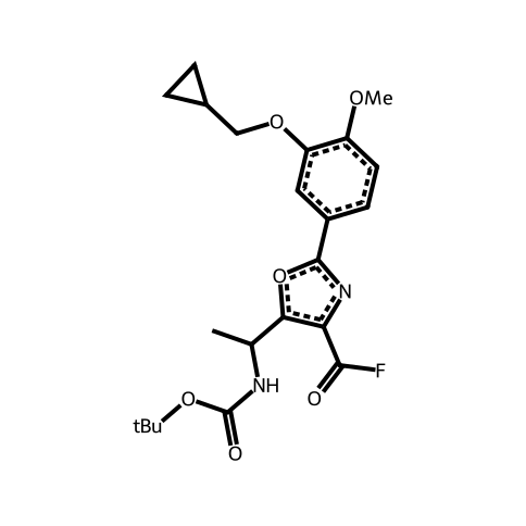 COc1ccc(-c2nc(C(=O)F)c(C(C)NC(=O)OC(C)(C)C)o2)cc1OCC1CC1